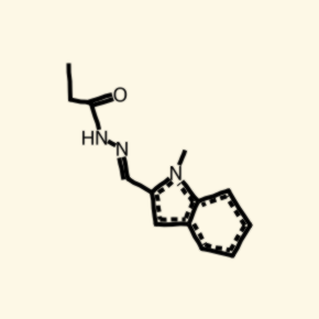 CCC(=O)NN=Cc1cc2ccccc2n1C